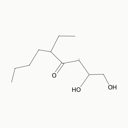 CCCCC(CC)C(=O)[CH]C(O)CO